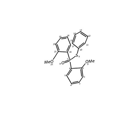 COc1ccccc1P(=O)(Sc1ccccc1)c1ccccc1OC